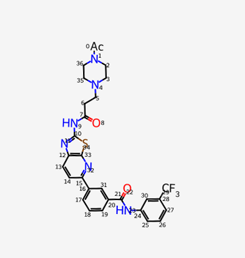 CC(=O)N1CCN(CCC(=O)Nc2nc3ccc(-c4cccc(C(=O)Nc5cccc(C(F)(F)F)c5)c4)nc3s2)CC1